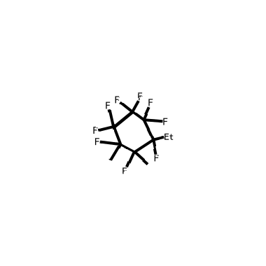 CCC1(F)C(C)(F)C(C)(F)C(F)(F)C(F)(F)C1(F)F